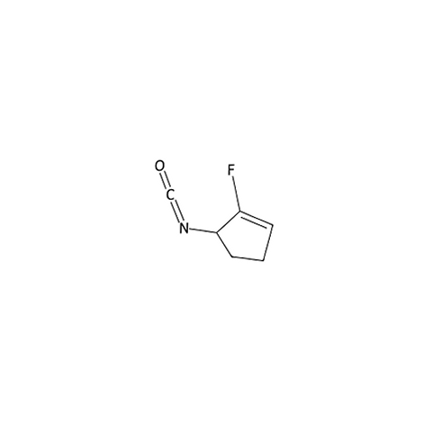 O=C=NC1CCC=C1F